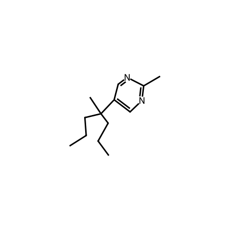 CCCC(C)(CCC)c1cnc(C)nc1